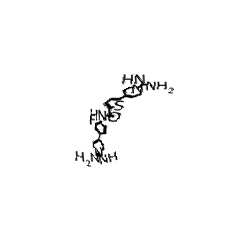 N=C(N)N1CC=C(c2ccc(NC(=O)c3ccc(C4=CCN(C(=N)N)CC4)s3)c(F)c2)CC1